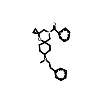 CN(CCc1ccccc1)C1CCC2(CC1)CN(C(=O)c1ccccc1)CC1(CC1)O2